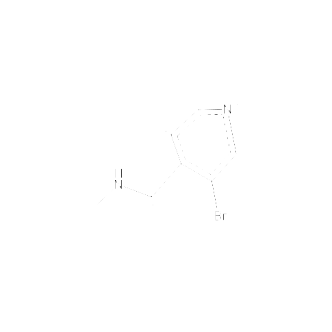 CNCc1ccncc1Br